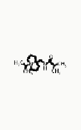 CC(C)C(=O)NCC12CCC[N+]1(C(C)C)CCC2